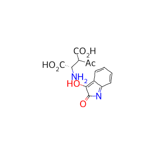 CC(=O)C(C(=O)O)[C@H](N)C(=O)O.O=C1N=c2ccccc2=C1O